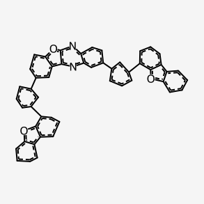 c1cc(-c2ccc3nc4oc5ccc(-c6cccc(-c7cccc8c7oc7ccccc78)c6)cc5c4nc3c2)cc(-c2cccc3c2oc2ccccc23)c1